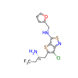 N[C@H](Cc1sc2c(NCc3ccco3)snc2c1Cl)CC(F)(F)F